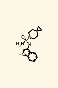 NS(=O)(=Nc1c[nH]c2ccccc12)N1CCC2(CC1)CC2